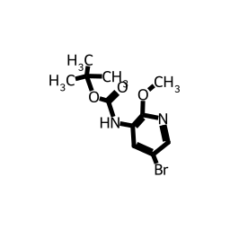 COc1ncc(Br)cc1NC(=O)OC(C)(C)C